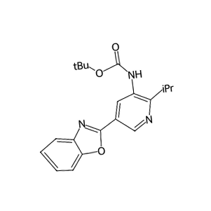 CC(C)c1ncc(-c2nc3ccccc3o2)cc1NC(=O)OC(C)(C)C